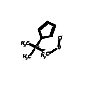 C[N+](C)(C)C1C=CC=C1.[Cl][Ti][Cl]